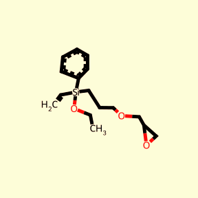 C=C[Si](CCCOCC1CO1)(OCC)c1ccccc1